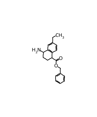 CCc1ccc2c(c1)C(N)CCC2C(=O)OCc1ccccc1